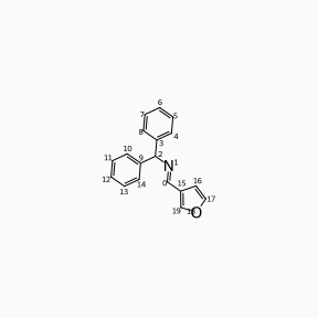 C(=NC(c1ccccc1)c1ccccc1)c1ccoc1